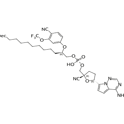 CCCCCCCCCCCCCCCCCCC[C@H](COP(=O)(O)OC[C@]1(C#N)CC[C@H](c2ccc3c(N)ncnn23)O1)Oc1ccc(C#N)c(OC(F)(F)F)c1